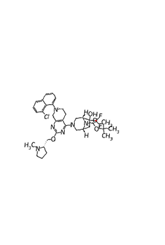 CN1CCC[C@H]1COc1nc2c(c(N3C[C@H]4CC(O)(C(F)F)[C@@H](C3)N4C(=O)OC(C)(C)C)n1)CCN(c1cccc3cccc(Cl)c13)C2